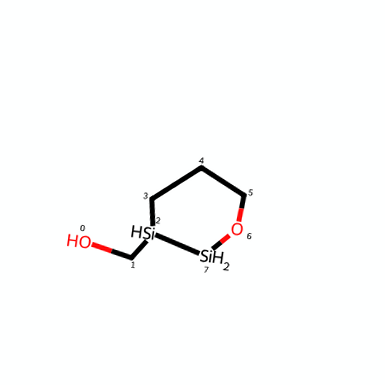 OC[SiH]1CCCO[SiH2]1